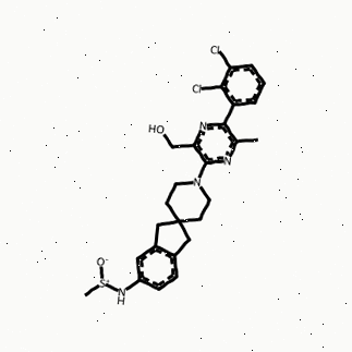 Cc1nc(N2CCC3(CC2)Cc2ccc(N[S+](C)[O-])cc2C3)c(CO)nc1-c1cccc(Cl)c1Cl